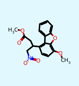 COC(=O)CC(C[N+](=O)[O-])c1ccc(OC)c2oc3ccccc3c12